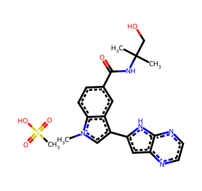 CS(=O)(=O)O.Cn1cc(-c2cc3nccnc3[nH]2)c2cc(C(=O)NC(C)(C)CO)ccc21